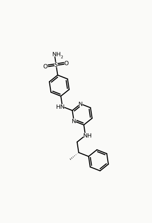 C[C@H](CNc1ccnc(Nc2ccc(S(N)(=O)=O)cc2)n1)c1ccccc1